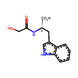 O=C(CO)N[C@@H](Cc1c[nH]c2ccccc12)C(=O)O